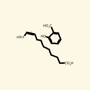 CCCCCCCC/C=C\CCCCCCCC(=O)O.O=C(O)c1ccccc1O